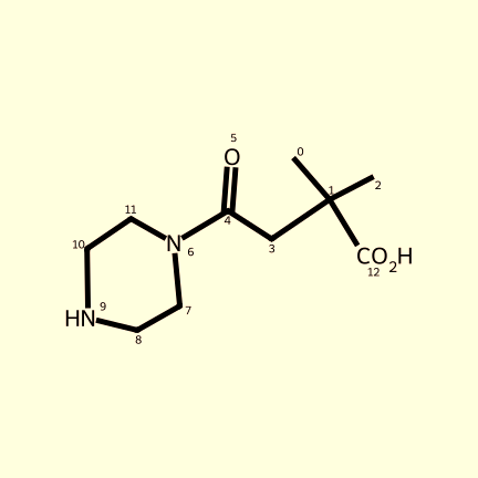 CC(C)(CC(=O)N1CCNCC1)C(=O)O